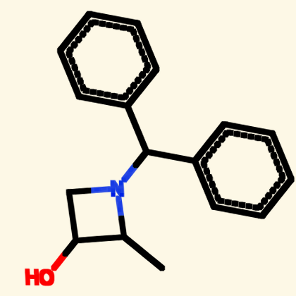 CC1C(O)CN1C(c1ccccc1)c1ccccc1